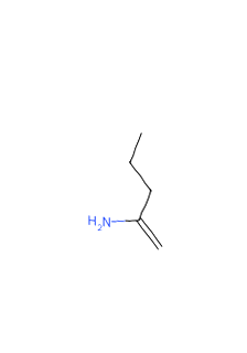 C=C(N)CCC